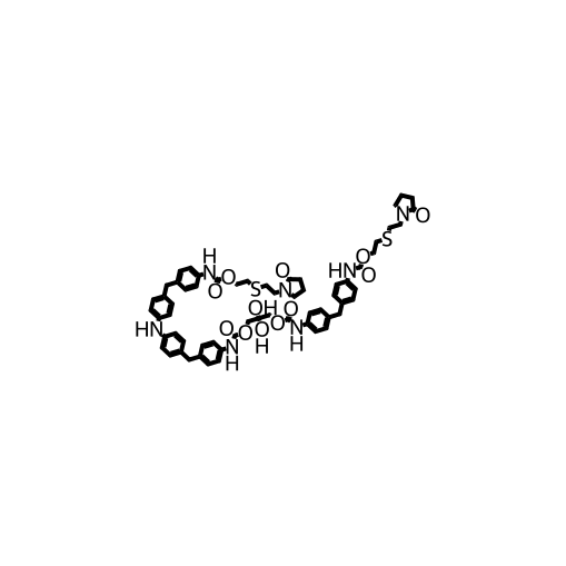 O=C(Nc1ccc(Cc2ccc(NC(=O)OCC(O)(O)COC(=O)Nc3ccc(Cc4ccc(Nc5ccc(Cc6ccc(NC(=O)OCCSCCN7CCCC7=O)cc6)cc5)cc4)cc3)cc2)cc1)OCCSCCN1CCCC1=O